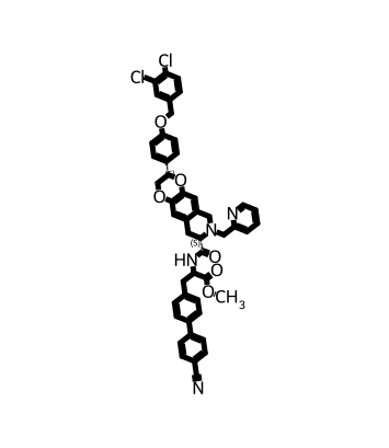 COC(=O)C(Cc1ccc(-c2ccc(C#N)cc2)cc1)NC(=O)[C@@H]1Cc2cc3c(cc2CN1Cc1ccccn1)O[C@@H](c1ccc(OCc2ccc(Cl)c(Cl)c2)cc1)CO3